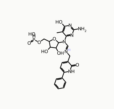 Cc1c(O)nc(N)nc1N(/C=N/Cc1ccc(-c2ccccc2)[nH]c1=O)C1OC(CO[PH](=O)O)C(O)C1O